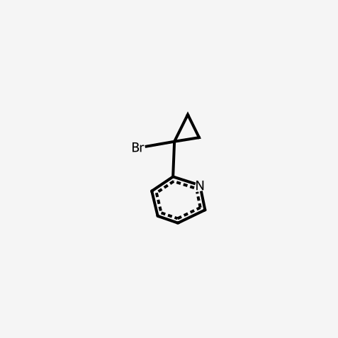 BrC1(c2ccccn2)CC1